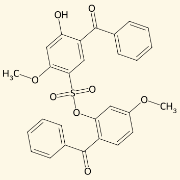 COc1ccc(C(=O)c2ccccc2)c(OS(=O)(=O)c2cc(C(=O)c3ccccc3)c(O)cc2OC)c1